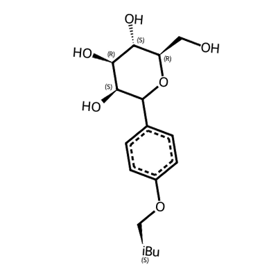 CC[C@H](C)COc1ccc(C2O[C@H](CO)[C@@H](O)[C@H](O)[C@@H]2O)cc1